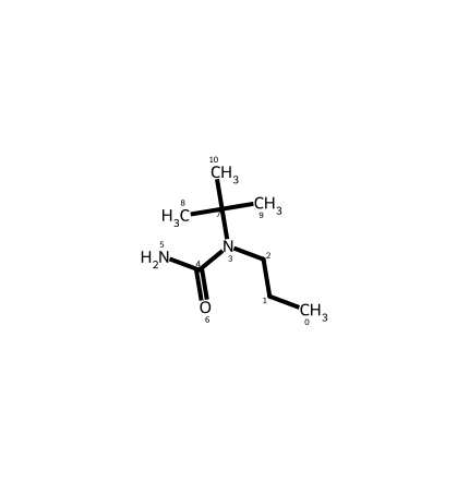 CCCN(C(N)=O)C(C)(C)C